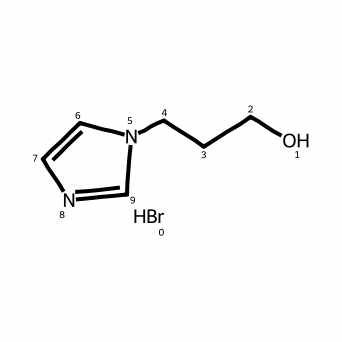 Br.OCCCn1ccnc1